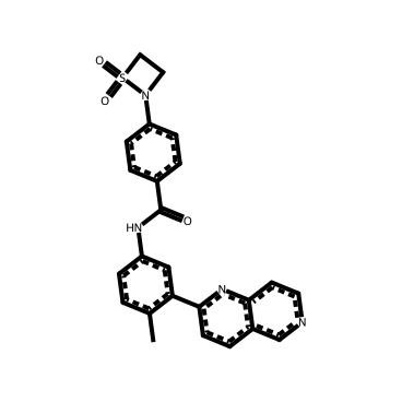 Cc1ccc(NC(=O)c2ccc(N3CCS3(=O)=O)cc2)cc1-c1ccc2cnccc2n1